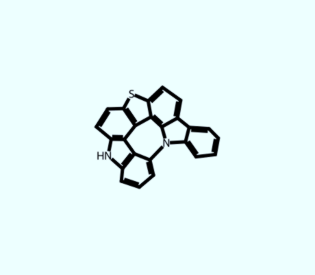 c1ccc2c(c1)c1ccc3sc4ccc5[nH]c6cccc7c6c5c4c3c1n27